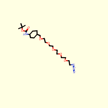 CC(C)(C)OC(=O)NC1CCC(COCCOCCOCCOCCOCCN=[N+]=[N-])CC1